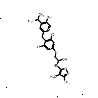 Cc1noc(NC(O)COc2cc(Cl)c(Cc3ccc(O)c(C(C)C)c3)c(Cl)c2)c1C